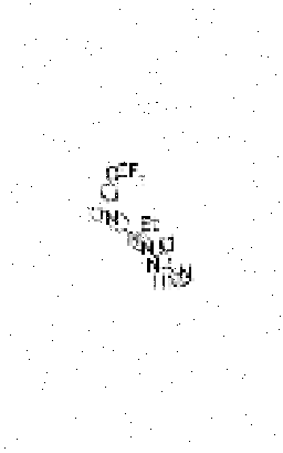 CC[C@H]1CN(c2ncc(-c3ncc[nH]3)cc2Cl)CCN1C1CCN(C(=O)c2ccc(OC(F)(F)F)cc2)CC1